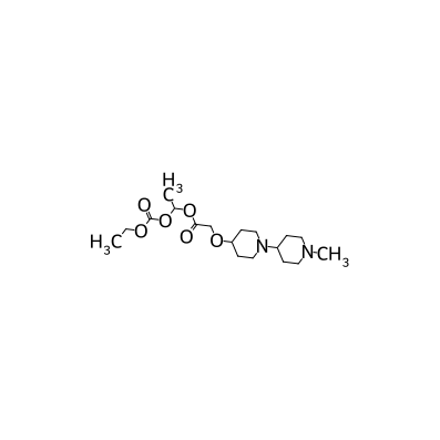 CCOC(=O)OC(C)OC(=O)COC1CCN(C2CCN(C)CC2)CC1